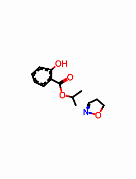 C1=NOCC1.CC(C)OC(=O)c1ccccc1O